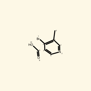 Cc1cnccc1Br.O=CO